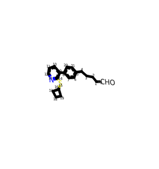 O=CCCCCc1ccc(-c2cccnc2SC2CCC2)cc1